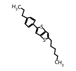 CCCCCCc1cc2sc(-c3ccc(CCC)cc3)cc2s1